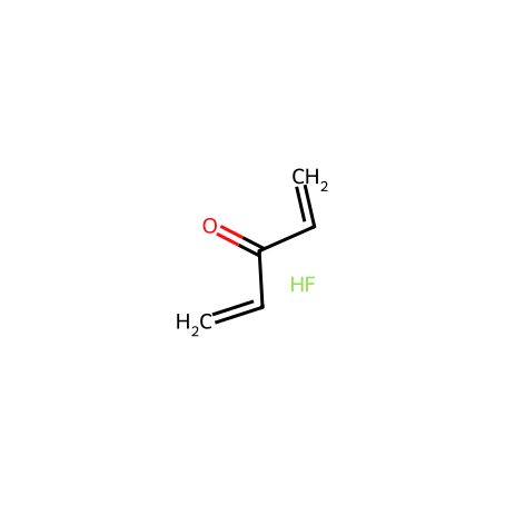 C=CC(=O)C=C.F